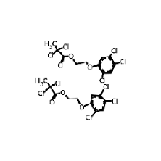 CC(Cl)(Cl)C(=O)OCCOc1cc(Cl)c(Cl)cc1Cl.CC(Cl)(Cl)C(=O)OCCOc1cc(Cl)c(Cl)cc1Cl